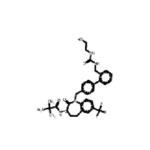 CC(C)(N)C(=O)N[C@@H]1CCc2cc(C(F)(F)F)ccc2N(Cc2ccc(-c3ccccc3CNC(=O)NCCO)cc2)C1=O